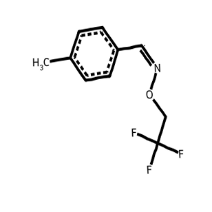 Cc1ccc(/[C]=N\OCC(F)(F)F)cc1